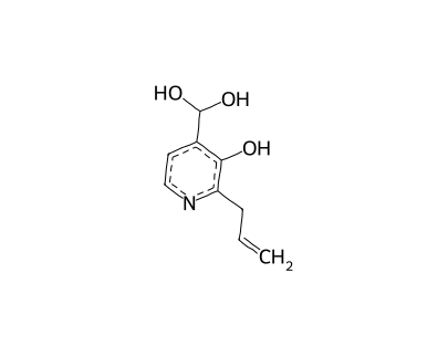 C=CCc1nccc(C(O)O)c1O